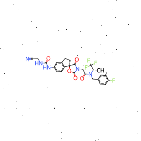 C[C@H](N(Cc1ccc(F)cc1)C(=O)CN1C(=O)O[C@@]2(CCc3cc(NC(=O)NCC#N)ccc32)C1=O)C(F)(F)F